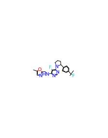 Cc1cnc(CNc2ncnc(N3CCCC3c3ccc(C(C)(C)F)cc3)c2F)o1